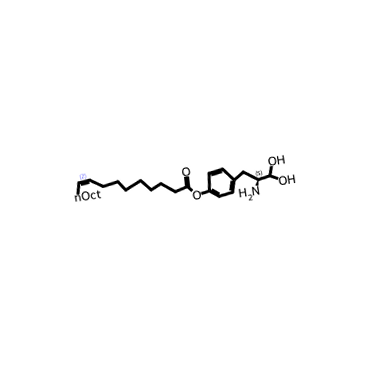 CCCCCCCC/C=C\CCCCCCCC(=O)Oc1ccc(C[C@H](N)C(O)O)cc1